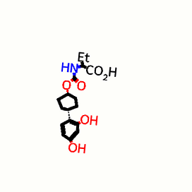 CCC(NC(=O)O[C@H]1CC[C@H](c2ccc(O)cc2O)CC1)C(=O)O